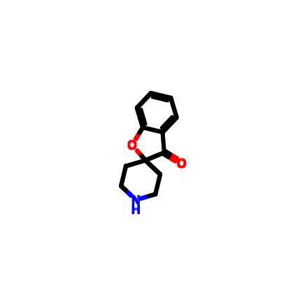 O=C1c2ccccc2OC12CCNCC2